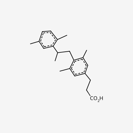 Cc1ccc(C)c(C(C)Cc2c(C)cc(CCC(=O)O)cc2C)c1